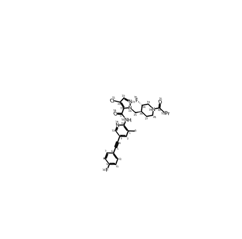 Cc1cc(C#Cc2ccc(F)cc2)cnc1NC(=O)c1c(Cl)cnn1C[C@@H]1CCN(C(=O)C(C)C)C[C@H]1F